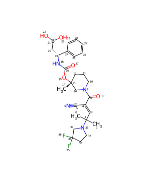 CC(C)(C=C(C#N)C(=O)N1CCC[C@@](C)(OC(=O)N[C@H](CB(O)O)c2ccccc2)C1)N1CCC(F)(F)C1